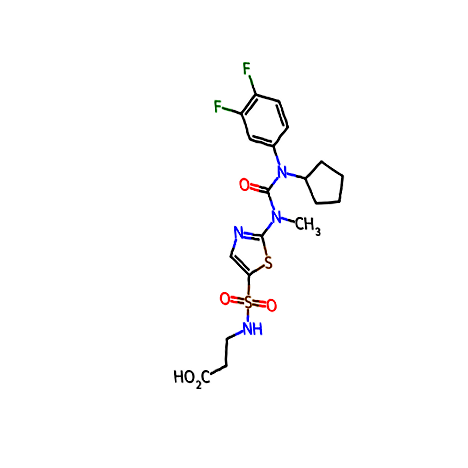 CN(C(=O)N(c1ccc(F)c(F)c1)C1CCCC1)c1ncc(S(=O)(=O)NCCC(=O)O)s1